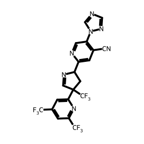 N#Cc1cc(C2CC(c3cc(C(F)(F)F)cc(C(F)(F)F)n3)(C(F)(F)F)C=N2)ncc1-n1cncn1